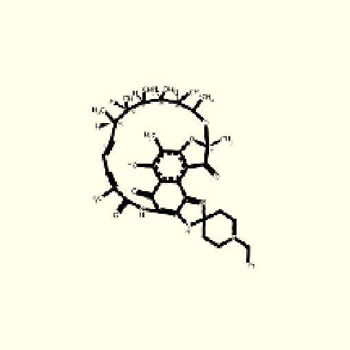 C/C1=C/C=C/[C@H](C)[C@H](O)[C@@H](C)[C@@H](O)[C@@H](C)C(C)O[C@@]2(C)Oc3c(C)c(O)c4c(c3C2=O)C2=NC3(CCN(CC(C)C)CC3)NC2=C(NC1=O)C4=O